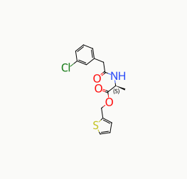 C[C@H](NC(=O)Cc1cccc(Cl)c1)C(=O)OCc1cccs1